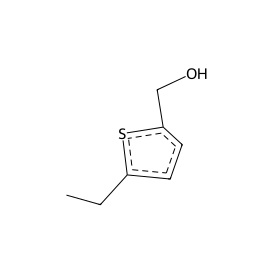 CCc1ccc(CO)s1